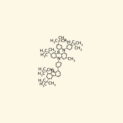 Cc1cc2c3c(c1)N(c1ccc(C(C)(C)C)cc1)c1cc(C(C)(C)C)ccc1B3c1cc(C(C)(C)C)ccc1N2c1ccc(-c2cccc3c2oc2c(C(C)(C)C)cc(C(C)(C)C)cc23)cc1